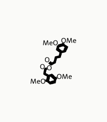 COc1ccc(OC)c(CC(=O)OC(=O)CCCc2ccc(OC)c(OC)c2)c1